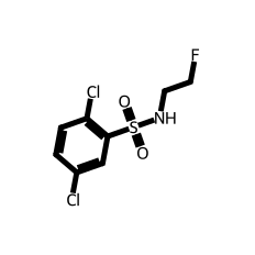 O=S(=O)(NCCF)c1cc(Cl)ccc1Cl